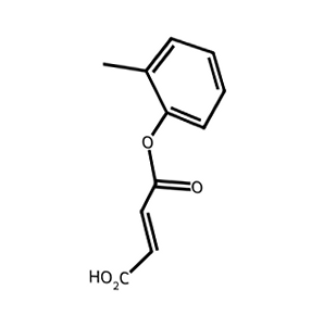 Cc1ccccc1OC(=O)C=CC(=O)O